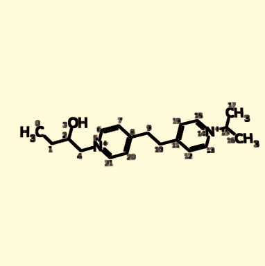 CCC(O)C[n+]1ccc(CCc2cc[n+](C(C)C)cc2)cc1